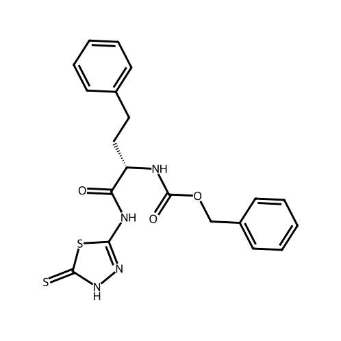 O=C(N[C@@H](CCc1ccccc1)C(=O)Nc1n[nH]c(=S)s1)OCc1ccccc1